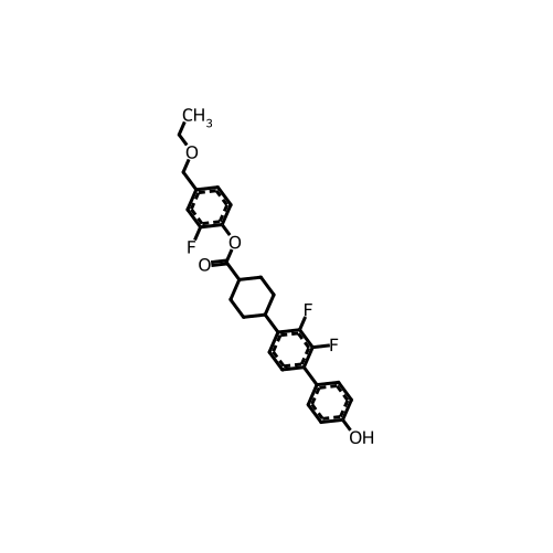 CCOCc1ccc(OC(=O)C2CCC(c3ccc(-c4ccc(O)cc4)c(F)c3F)CC2)c(F)c1